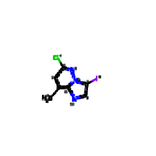 Bc1cc(Cl)nn2c(I)cnc12